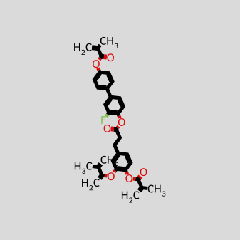 C=C(C)C(=C)Oc1cc(CCC(=O)Oc2ccc(-c3ccc(OC(=O)C(=C)C)cc3)cc2F)ccc1OC(=O)C(=C)C